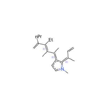 C=C\C(C)=c1/c(=C(C)/C(C)=C(\CC)C(=C)CCC)ccn1C